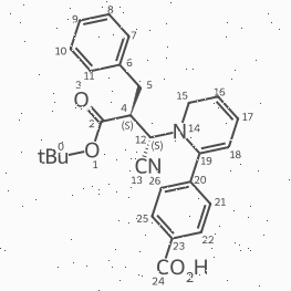 CC(C)(C)OC(=O)[C@@H](Cc1ccccc1)[C@@H](C#N)N1CC=CC=C1c1ccc(C(=O)O)cc1